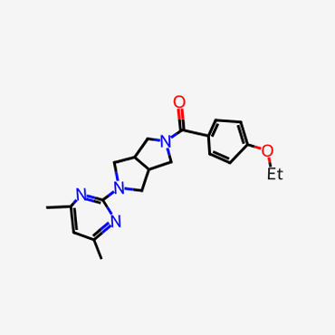 CCOc1ccc(C(=O)N2CC3CN(c4nc(C)cc(C)n4)CC3C2)cc1